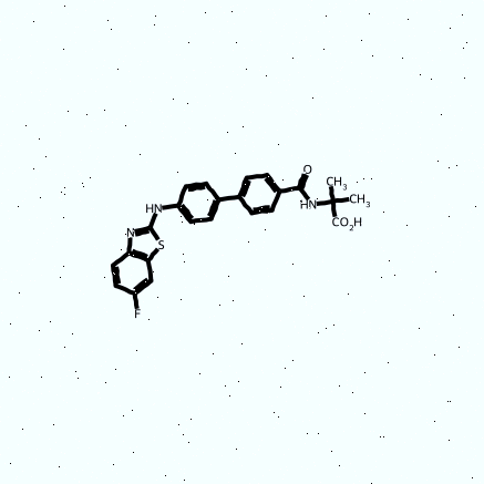 CC(C)(NC(=O)c1ccc(-c2ccc(Nc3nc4ccc(F)cc4s3)cc2)cc1)C(=O)O